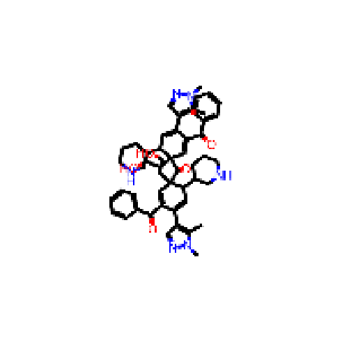 Cc1c(C2=CC(C3CCCNC3)C(CCO)(C(=O)C3(CCO)C=C(C(=O)c4ccccc4)C(c4cnn(C)c4C)=CC3C3CCCNC3)C=C2C(=O)c2ccccc2)cnn1C